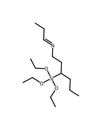 CCC=NCCC(CCC)[Si](OCC)(OCC)OCC